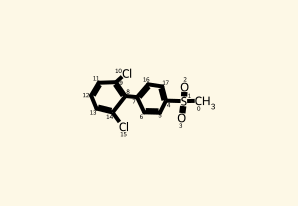 CS(=O)(=O)c1ccc(-c2c(Cl)cccc2Cl)cc1